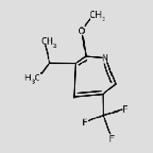 COc1ncc(C(F)(F)F)cc1C(C)C